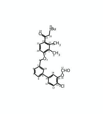 Cc1c(OCc2cccc(-c3ccc(Cl)c(OC=O)c3)c2)ccc(C(=O)CC(C)(C)C)c1C